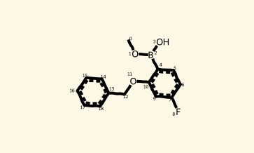 COB(O)c1ccc(F)cc1OCc1ccccc1